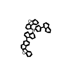 c1ccc2c(-c3ccc(N(c4cccc5c(-c6ccc7c(ccc8oc9ccccc9c87)c6)cccc45)c4cccc5oc6ccccc6c45)cc3)cccc2c1